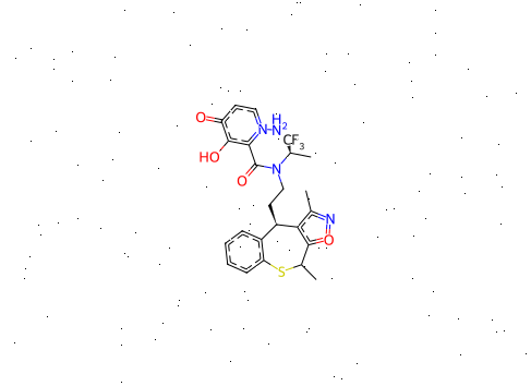 Cc1noc2c1[C@H](CCN(C(=O)c1c(O)c(=O)ccn1N)[C@H](C)C(F)(F)F)c1ccccc1SC2C